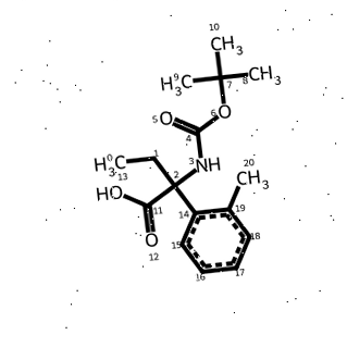 CCC(NC(=O)OC(C)(C)C)(C(=O)O)c1ccccc1C